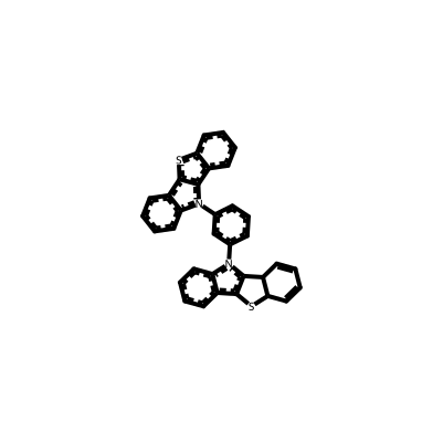 C1=CC2Sc3c(n(-c4cccc(-n5c6ccccc6c6sc7ccccc7c65)c4)c4ccccc34)C2C=C1